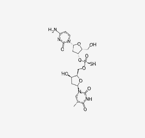 Cc1cn([C@H]2C[C@@H](O)[C@@H](CO[P@](=O)(S)O[C@@H]3C[C@H](n4ccc(N)nc4=O)O[C@@H]3CO)O2)c(=O)[nH]c1=O